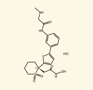 CNCC(=O)Nc1cccc(-c2ccc([C@@]3(CC(=O)NO)CCCCS3(=O)=O)s2)c1.Cl